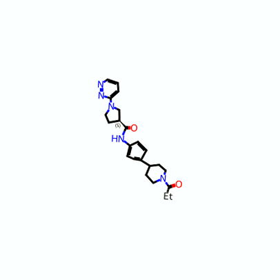 CCC(=O)N1CCC(c2ccc(NC(=O)[C@H]3CCN(c4cccnn4)C3)cc2)CC1